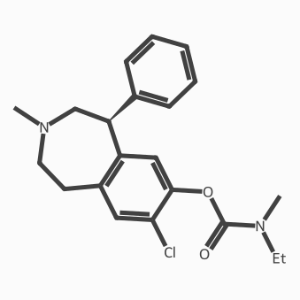 CCN(C)C(=O)Oc1cc2c(cc1Cl)CCN(C)C[C@H]2c1ccccc1